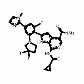 CNC(=O)c1cnc(NC(=O)C2CC2)c2[nH]c(-c3c(F)cc(-c4nccn4C)cc3N3CCC(F)(F)C3)cc12